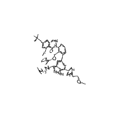 COCCn1cc(-c2cc(-c3cccc(-n4ncc5cc(C(C)(C)C)cc(F)c5c4=O)c3COC(C)=O)cc3c(N)n[nH]c23)cn1